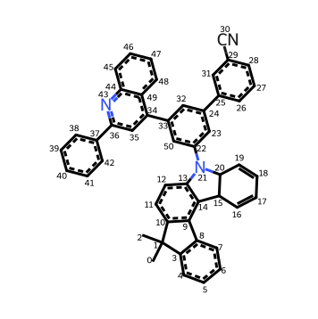 CC1(C)c2ccccc2-c2c1ccc1c2C2C=CC=CC2N1c1cc(-c2cccc(C#N)c2)cc(-c2cc(-c3ccccc3)nc3ccccc23)c1